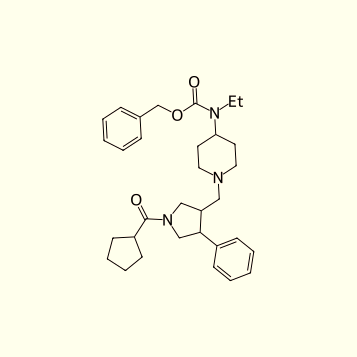 CCN(C(=O)OCc1ccccc1)C1CCN(CC2CN(C(=O)C3CCCC3)CC2c2ccccc2)CC1